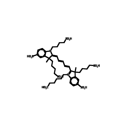 CC1(CCCCS(=O)(=O)O)C(/C=C/C=C/C=C2/N(CCCCS(=O)(=O)O)c3ccc(S(=O)(=O)O)cc3C2(C)CCCCS(=O)(=O)O)=[N+](CCCCCC(=O)O)c2ccc(S(=O)(=O)O)cc21